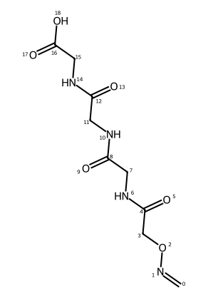 C=NOCC(=O)NCC(=O)NCC(=O)NCC(=O)O